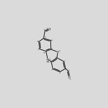 O=Cc1ccc2c(c1)Oc1cc(C=O)ccc1N2